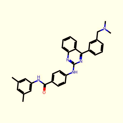 Cc1cc(C)cc(NC(=O)c2ccc(Nc3nc(-c4cccc(CN(C)C)c4)c4ccccc4n3)cc2)c1